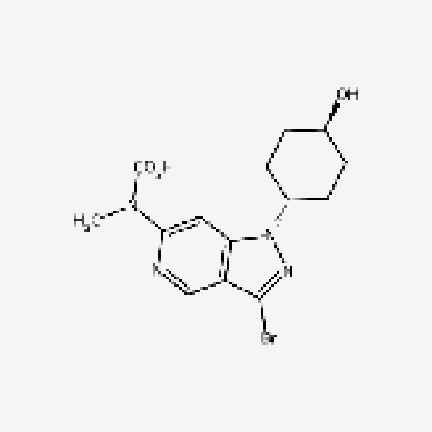 CN(C(=O)O)c1cc2c(cn1)c(Br)nn2[C@H]1CC[C@H](O)CC1